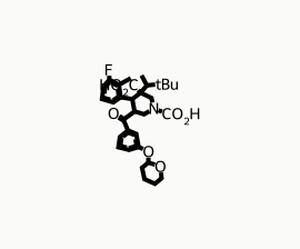 Cc1c(F)cccc1C1C(C(=O)c2cccc(OC3CCCCO3)c2)CN(C(=O)O)CC1(C(=O)O)C(C)C(C)(C)C